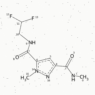 CNC(=O)c1cc(C(=O)NCC(F)F)n(C)n1